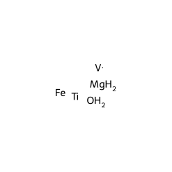 O.[Fe].[MgH2].[Ti].[V]